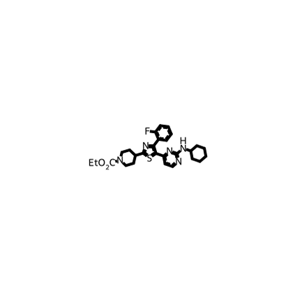 CCOC(=O)N1CCC(c2nc(-c3ccccc3F)c(-c3ccnc(NC4CCCCC4)n3)s2)CC1